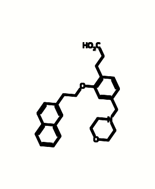 O=C(O)CCc1ccc(CN2CCOCC2)cc1OCCc1ccc2ccccc2c1